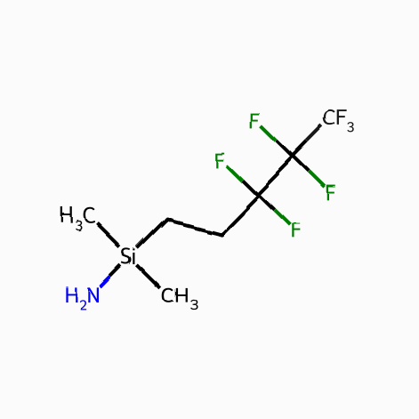 C[Si](C)(N)CCC(F)(F)C(F)(F)C(F)(F)F